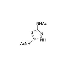 CC(=O)Nc1cc(NC(C)=O)[nH]n1